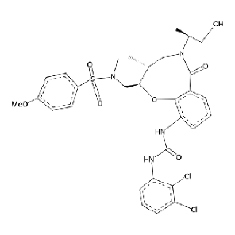 COc1ccc(S(=O)(=O)N(C)C[C@@H]2Oc3c(NC(=O)Nc4cccc(Cl)c4Cl)cccc3C(=O)N([C@@H](C)CO)C[C@H]2C)cc1